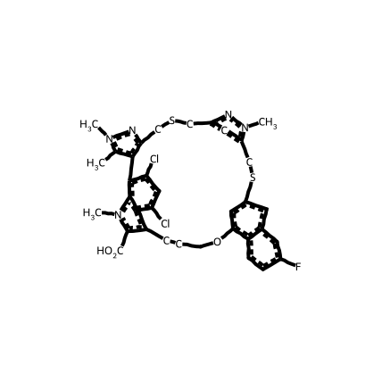 Cc1c2c(nn1C)CSCc1cc(n(C)n1)CSc1cc(c3ccc(F)cc3c1)OCCCc1c(C(=O)O)n(C)c3c-2c(Cl)cc(Cl)c13